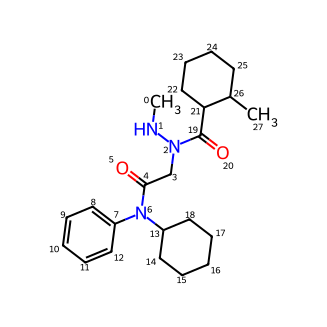 CNN(CC(=O)N(c1ccccc1)C1CCCCC1)C(=O)C1CCCCC1C